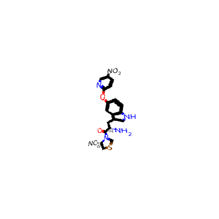 N#C[C@H]1CSCN1C(=O)[C@@H](N)Cc1c[nH]c2ccc(Oc3ccc([N+](=O)[O-])cn3)cc12